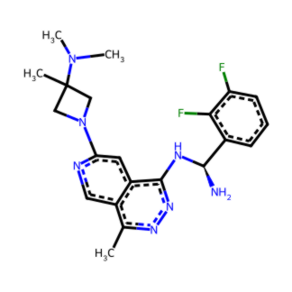 Cc1nnc(N[C@H](N)c2cccc(F)c2F)c2cc(N3CC(C)(N(C)C)C3)ncc12